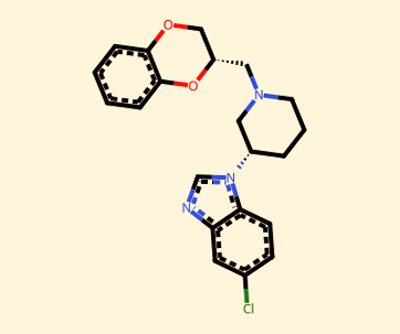 Clc1ccc2c(c1)ncn2[C@H]1CCCN(C[C@H]2COc3ccccc3O2)C1